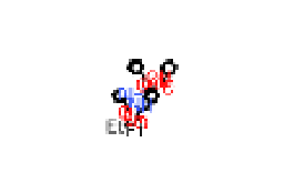 CCC(CC)OC(=O)[C@H](Cc1ccc(OC(=O)c2ccccc2)c(OC(O)c2ccccc2)c1)NC(=O)C1CCCN1